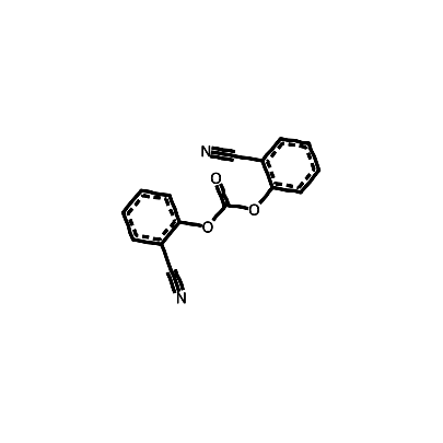 N#Cc1ccccc1OC(=O)Oc1ccccc1C#N